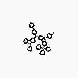 Fc1ccc(-n2c3ccc(N(c4ccc(-c5ccccc5)cc4)c4ccc5c(c4)c4ccccc4n5-c4ccccc4)cc3c3cc([Si](c4ccccc4)(c4ccccc4)c4ccccc4)ccc32)cc1